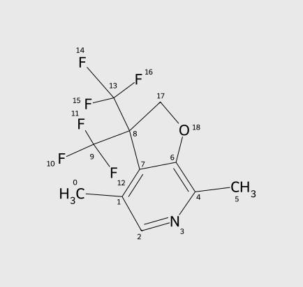 Cc1cnc(C)c2c1C(C(F)(F)F)(C(F)(F)F)CO2